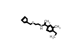 C=C(NCCSCC1=CC=CC1)c1ccc(CC)c(C)c1